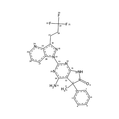 CC1(c2ccccc2)C(=O)Nc2nc(-n3nc(CCC(F)(F)F)c4ncccc43)nc(N)c21